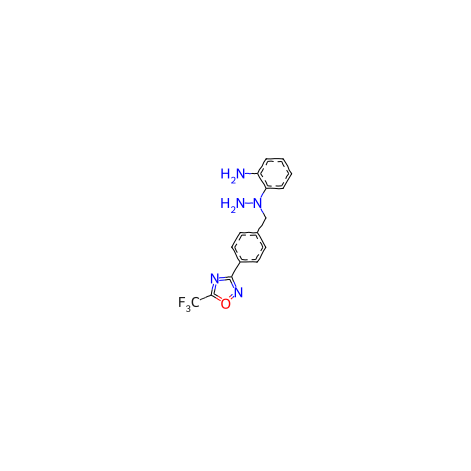 Nc1ccccc1N(N)Cc1ccc(-c2noc(C(F)(F)F)n2)cc1